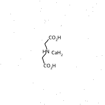 O=C(O)CNCC(=O)O.[CaH2]